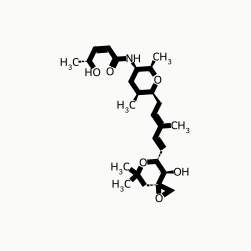 CC(/C=C/[C@H]1OC(C)(C)C[C@@]2(CO2)[C@@H]1O)=C\C[C@@H]1O[C@H](C)[C@H](NC(=O)/C=C\[C@@H](C)O)C[C@@H]1C